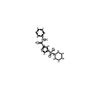 O=C(Nc1ccccc1)c1cc(S(=O)(=O)N2CCCCC2)cs1